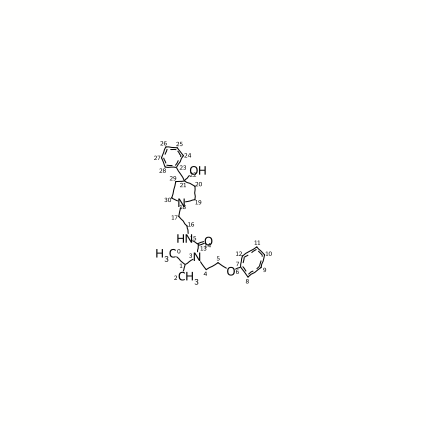 CC(C)N(CCOc1ccccc1)C(=O)NCCN1CCC(O)(c2ccccc2)CC1